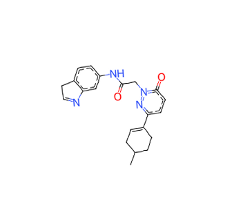 CC1CC=C(c2ccc(=O)n(CC(=O)Nc3ccc4c(c3)N=CC4)n2)CC1